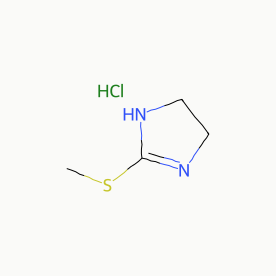 CSC1=NCCN1.Cl